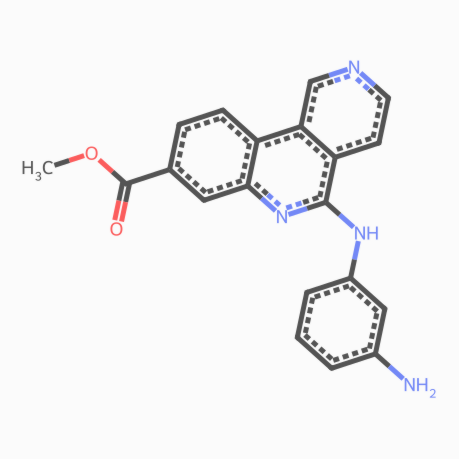 COC(=O)c1ccc2c(c1)nc(Nc1cccc(N)c1)c1ccncc12